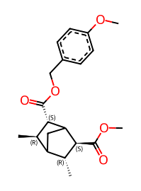 COC(=O)[C@@H]1C2CC([C@H]1C)[C@@H](C)[C@@H]2C(=O)OCc1ccc(OC)cc1